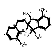 Cc1cccc2c1N(C)C1(C=Cc3cccc([N+](=O)[O-])c3O1)C2(C)C